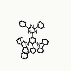 c1ccc(-c2cccc(-c3c(-n4c5ccccc5c5ccccc54)cc(-c4nc(-c5ccccc5)nc(-c5ccccc5)n4)cc3-n3c4ccccc4c4ccccc43)c2)cc1